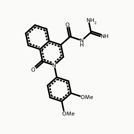 COc1ccc(-n2cc(C(=O)NC(=N)N)c3ccccc3c2=O)cc1OC